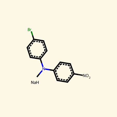 CN(c1ccc(Br)cc1)c1ccc([N+](=O)[O-])cc1.[NaH]